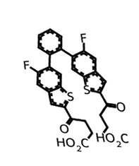 O=C(O)CCC(=O)c1cc2cc(F)c(-c3ccccc3-c3cc4sc(C(=O)CCC(=O)O)cc4cc3F)cc2s1